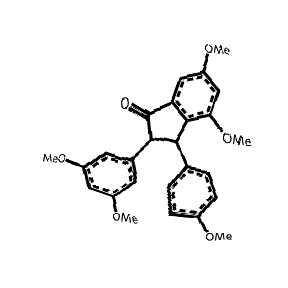 COc1ccc(C2c3c(OC)cc(OC)cc3C(=O)C2c2cc(OC)cc(OC)c2)cc1